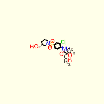 C[C@@](O)(C(=O)Nc1ccc(S(=O)(=O)N2CCC[C@@H](CO)C2)cc1Cl)C(F)(F)F